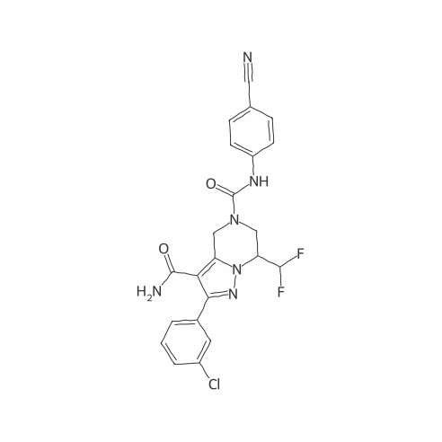 N#Cc1ccc(NC(=O)N2Cc3c(C(N)=O)c(-c4cccc(Cl)c4)nn3C(C(F)F)C2)cc1